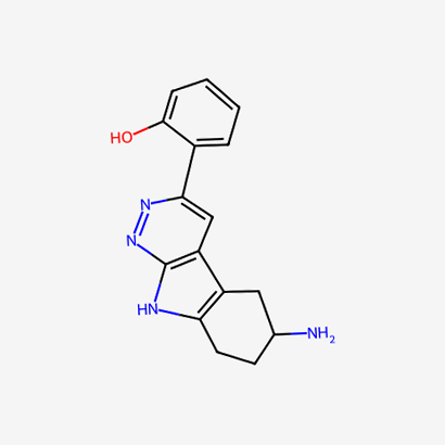 NC1CCc2[nH]c3nnc(-c4ccccc4O)cc3c2C1